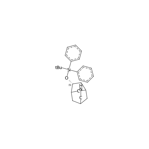 CC(C)(C)[Si](O[C@H]1C2CC3CNC1C(C3)C2)(c1ccccc1)c1ccccc1